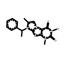 CCn1c(=O)c2c(nc3n(C(C)c4ccccc4)c(C)cn23)n(C)c1=O